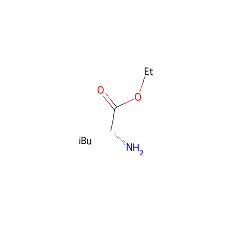 CCOC(=O)[C@H](N)[C@H](C)CC